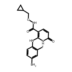 Bc1ccc(Nc2[nH]c(=O)ccc2C(=O)NOCC2CC2)c(F)c1